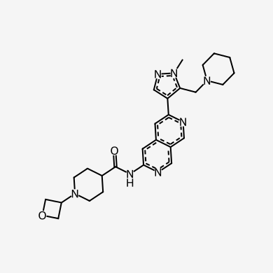 Cn1ncc(-c2cc3cc(NC(=O)C4CCN(C5COC5)CC4)ncc3cn2)c1CN1CCCCC1